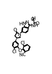 N#Cc1cccc(Cl)c1Oc1cc([C@H]2CC(=O)N(c3ccc4c(N[SH](=O)=O)n[nH]c4c3)C2)ccc1Cl